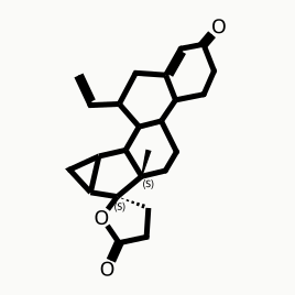 C=CC1CC2=CC(=O)CCC2C2CC[C@@]3(C)C(C4CC4[C@@]34CCC(=O)O4)C12